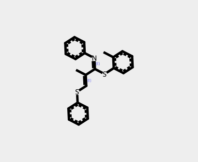 CC(=C\Sc1ccccc1)/C(=N\c1ccccc1)Sc1ccccc1C